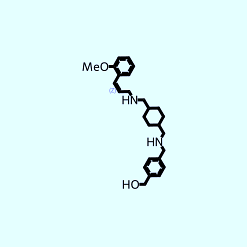 COc1ccccc1/C=C\CNCC1CCC(CNCc2ccc(CO)cc2)CC1